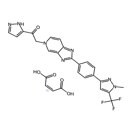 Cn1nc(-c2ccc(-c3nc4ccn(CC(=O)c5ccn[nH]5)cc-4n3)cc2)cc1C(F)(F)F.O=C(O)/C=C\C(=O)O